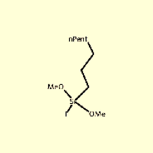 CCCCCCCC[Si](I)(OC)OC